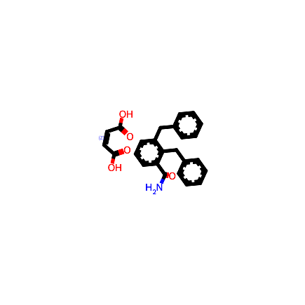 NC(=O)c1cccc(Cc2ccccc2)c1Cc1ccccc1.O=C(O)/C=C\C(=O)O